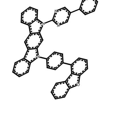 c1ccc(-c2cnc(-n3c4ccccc4c4cc5c6ccccc6n(-c6ccc(-c7cccc8oc9ccccc9c78)cc6)c5cc43)nc2)cc1